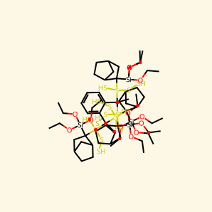 CCO[Si](OCC)(OCC)C1(S(S)(SS)C(C)(c2ccccc2C(C)(S(S)(SS)C2([Si](OCC)(OCC)OCC)CC3CCC2C3)S(S)(SS)C2([Si](OCC)(OCC)OCC)CC3CCC2C3)S(S)(SS)C2([Si](OCC)(OCC)OCC)CC3CCC2C3)CC2CCC1C2